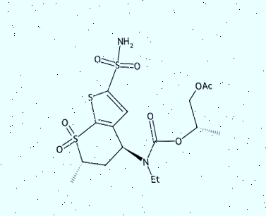 CCN(C(=O)O[C@@H](C)COC(C)=O)[C@H]1C[C@H](C)S(=O)(=O)c2sc(S(N)(=O)=O)cc21